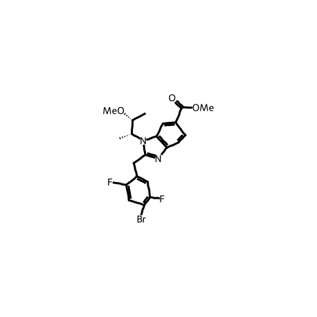 COC(=O)c1ccc2nc(Cc3cc(F)c(Br)cc3F)n([C@H](C)[C@@H](C)OC)c2c1